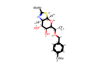 CNC1=N[C@@H]2[C@@H](O)[C@H](O)C([C@@H](OCc3ccc(OC)cc3)C(F)(F)F)O[C@@H]2S1